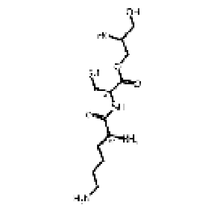 NCCCC[C@H](N)C(=O)N[C@@H](CS)C(=O)OCC(O)CO